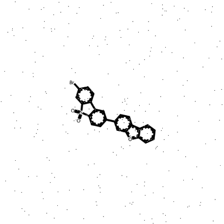 O=S1(=O)c2ccc(-c3ccc4c(c3)oc3ccccc34)cc2-c2ccc(Br)cc21